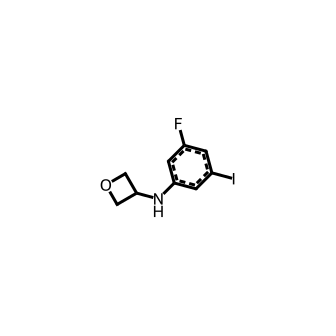 Fc1cc(I)cc(NC2COC2)c1